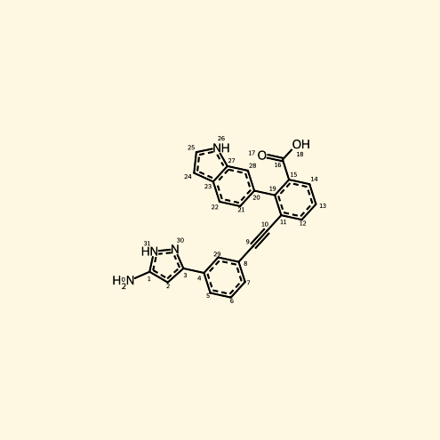 Nc1cc(-c2cccc(C#Cc3cccc(C(=O)O)c3-c3ccc4cc[nH]c4c3)c2)n[nH]1